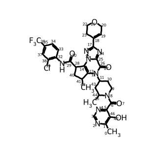 Cc1ncnc(C(=O)N2CCC(n3c4c(n5nc(C6=CCOCC6)nc5c3=O)C(C(=O)Nc3ccc(C(F)(F)F)cc3Cl)CC4C)CC2C)c1O